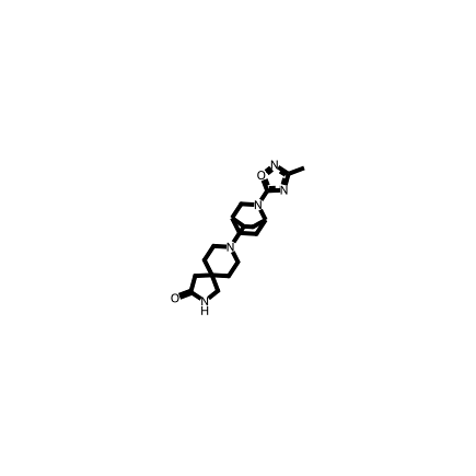 Cc1noc(N2CC3CCC2CC3N2CCC3(CC2)CNC(=O)C3)n1